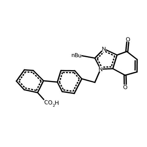 CCCCc1nc2c(n1Cc1ccc(-c3ccccc3C(=O)O)cc1)C(=O)C=CC2=O